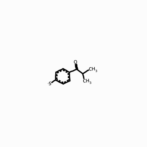 CC(C)C(=O)c1ccc([S])cc1